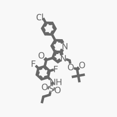 CCCS(=O)(=O)Nc1ccc(F)c(C(=O)c2cn(COC(=O)C(C)(C)C)c3ncc(-c4ccc(Cl)cc4)cc23)c1F